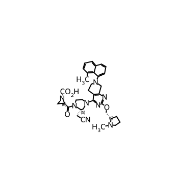 Cc1cccc2cccc(N3CCc4c(nc(OC[C@@H]5CCCN5C)nc4N4CCN(C(=O)[C@H]5CN5C(=O)O)[C@@H](CC#N)C4)C3)c12